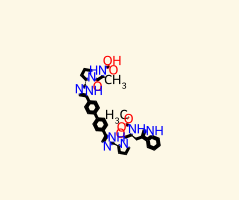 COC(=O)N[C@@H](Cc1c[nH]c2ccccc12)C(=O)N1CCC[C@H]1c1ncc(-c2ccc(-c3ccc(-c4cnc([C@@H]5CCCN5C(=O)[C@H](C)NC(=O)O)[nH]4)cc3)cc2)[nH]1